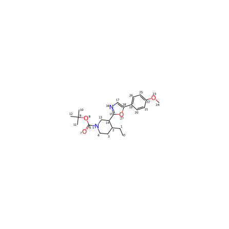 CCC1CCN(C(=O)OC(C)(C)C)CC1c1ncc(-c2ccc(OC)cc2)o1